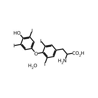 NC(Cc1cc(I)c(Oc2cc(I)c(O)c(I)c2)c(I)c1)C(=O)O.O